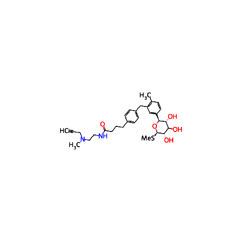 C#CCN(C)CCNC(=O)CCCc1ccc(Cc2cc([C@@H]3O[C@H](SC)[C@@H](O)[C@H](O)[C@H]3O)ccc2C)cc1